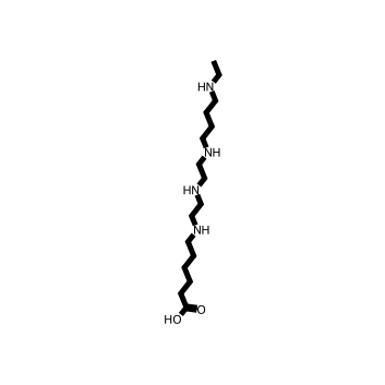 CCNCCCCNCCNCCNCCCCCC(=O)O